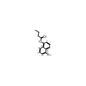 CCCC(=O)Oc1cccc2c(F)cccc12